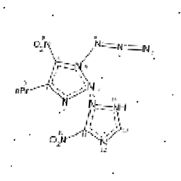 CCCc1nnn(N=[N+]=[N-])c1[N+](=O)[O-].O=[N+]([O-])c1nc[nH]n1